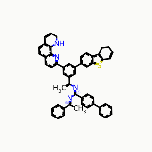 C=C(/N=C(\N=C(/C)c1ccccc1)c1ccc(-c2ccccc2)cc1)c1cc(-c2ccc3c4c(sc3c2)C=CCC4)cc(-c2ccc3ccc4c(c3n2)NCC=C4)c1